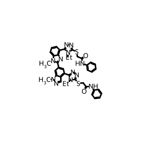 CCn1c(SCC(=O)Nc2ccccc2)nnc1-c1cc(-c2nc3c(-c4nnc(SCC(=O)Nc5ccccc5)n4CC)cccc3n2C)cc2c1cnn2C